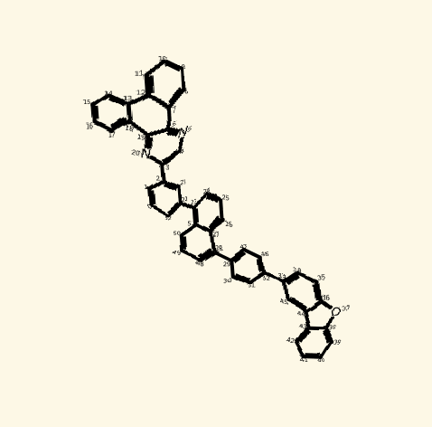 c1cc(-c2cnc3c4ccccc4c4ccccc4c3n2)cc(-c2cccc3c(-c4ccc(-c5ccc6oc7ccccc7c6c5)cc4)cccc23)c1